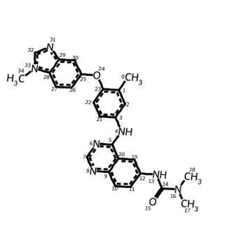 Cc1cc(Nc2ncnc3ccc(NC(=O)N(C)C)cc23)ccc1Oc1ccc2c(c1)ncn2C